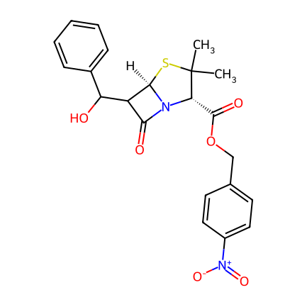 CC1(C)S[C@@H]2C(C(O)c3ccccc3)C(=O)N2[C@H]1C(=O)OCc1ccc([N+](=O)[O-])cc1